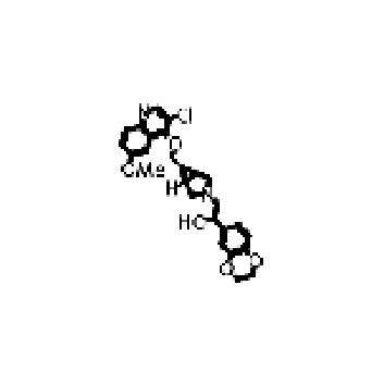 COc1ccc2ncc(Cl)c(OC[C@H]3C4CN(CC(O)c5ccc6c(c5)OCCO6)C[C@@H]43)c2c1